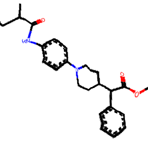 CCC(C)C(=O)Nc1ccc(N2CCC(C(C(=O)OC)c3ccccc3)CC2)cc1